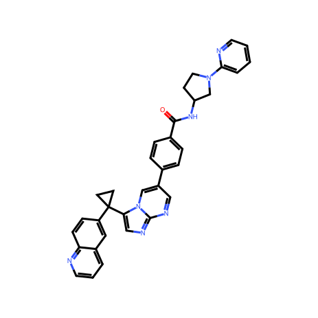 O=C(NC1CCN(c2ccccn2)C1)c1ccc(-c2cnc3ncc(C4(c5ccc6ncccc6c5)CC4)n3c2)cc1